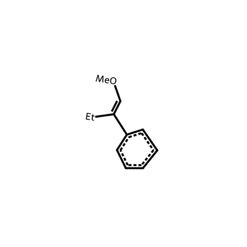 CC/C(=C\OC)c1ccccc1